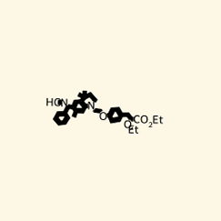 CCOC(=O)C(Cc1ccc(OCCN2CCC(C)(C)c3cc(/C(=N/O)c4ccccc4)c(C)cc32)cc1)OCC